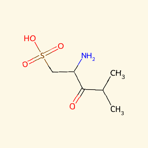 CC(C)C(=O)C(N)CS(=O)(=O)O